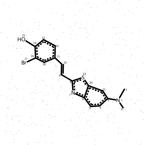 CN(C)c1ccc2nc(C=Cc3ccc(O)c(Br)c3)sc2c1